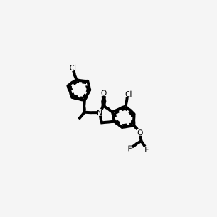 CC(c1ccc(Cl)cc1)N1Cc2cc(OC(F)F)cc(Cl)c2C1=O